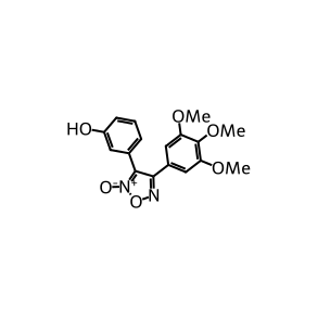 COc1cc(-c2no[n+]([O-])c2-c2cccc(O)c2)cc(OC)c1OC